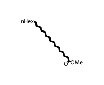 CCCCCC/C=C/C/C=C/C/C=C/CCCCCCCC(=O)OC